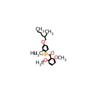 CCCCC(CC)COc1ccc(PC(=O)c2c(OC)cccc2OC)c(C)c1.[LiH]